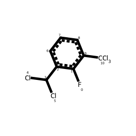 Fc1c(C(Cl)Cl)cccc1C(Cl)(Cl)Cl